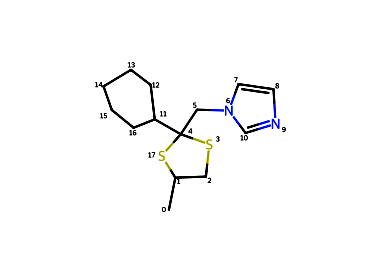 CC1CSC(Cn2ccnc2)(C2CCCCC2)S1